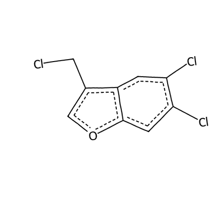 ClCc1coc2cc(Cl)c(Cl)cc12